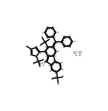 CC1=CC(C(C)(C)C)C(c2c(C(C)(C)C)c(=C(c3ccccc3)c3ccccc3)cc3c2=[C]([Zr+2])c2cc(C(C)(C)C)ccc2-3)=C1.[Cl-].[Cl-]